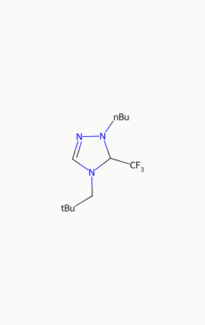 CCCCN1N=CN(CC(C)(C)C)C1C(F)(F)F